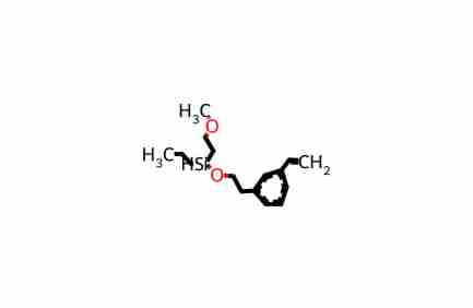 C=Cc1cccc(CCO[SiH](CCC)CCOC)c1